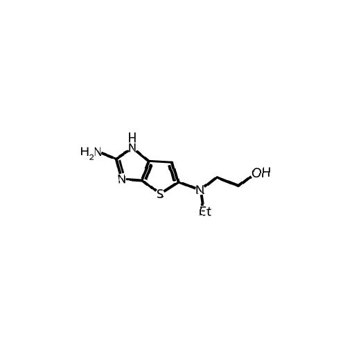 CCN(CCO)c1cc2[nH]c(N)nc2s1